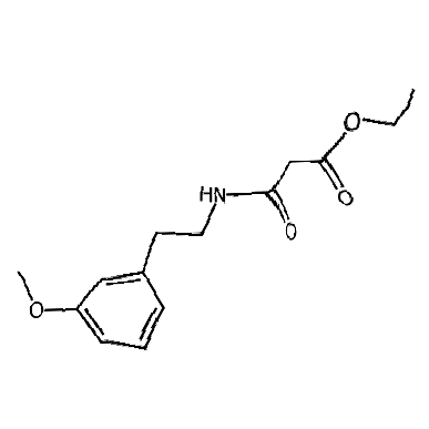 CCOC(=O)CC(=O)NCCc1cccc(OC)c1